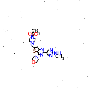 CNc1ncc(-c2nc(N3CCOCC3)c3sc(CN4CCN(S(C)(=O)=O)CC4)cc3n2)cn1